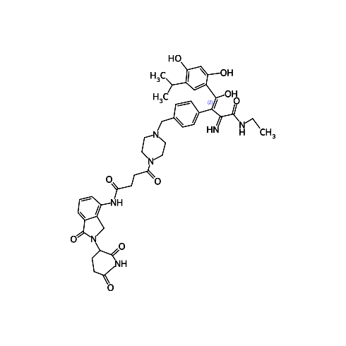 CCNC(=O)C(=N)/C(=C(\O)c1cc(C(C)C)c(O)cc1O)c1ccc(CN2CCN(C(=O)CCC(=O)Nc3cccc4c3CN(C3CCC(=O)NC3=O)C4=O)CC2)cc1